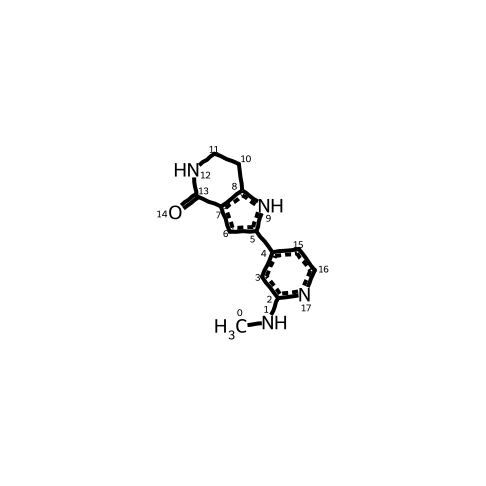 CNc1cc(-c2cc3c([nH]2)CCNC3=O)ccn1